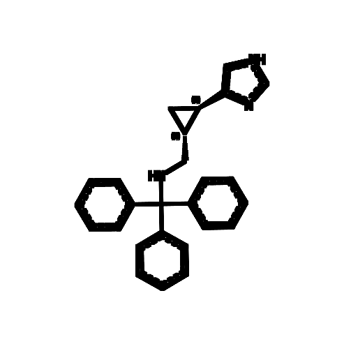 c1ccc(C(NC[C@@H]2C[C@H]2c2c[nH]cn2)(c2ccccc2)c2ccccc2)cc1